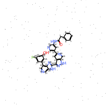 O=C(Cc1ccccc1)Nc1cncc(-c2cc3c(-c4nc5c(-c6cc(O)cc(F)c6)cncc5[nH]4)n[nH]c3cn2)c1